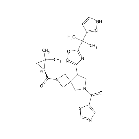 CC(C)(c1cc[nH]n1)c1nc(C2CN(C(=O)c3cncs3)CC23CN(C(=O)[C@H]2CC2(C)C)C3)no1